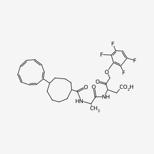 C[C@H](NC(=O)C1CCCCC(c2ccccccccc2)CCC1)C(=O)NC(CC(=O)O)C(=O)COc1c(F)c(F)cc(F)c1F